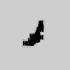 Cc1ccc(O)cc1Nc1ccnc2c1C(=O)Nc1cc(CNCc3cccc(Cl)c3)ccc1N2